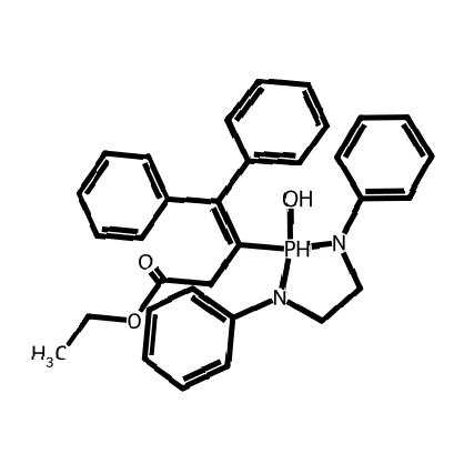 CCOC(=O)CC(=C(c1ccccc1)c1ccccc1)[PH]1(O)N(c2ccccc2)CCN1c1ccccc1